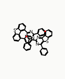 c1ccc(-c2nc(-c3ccccc3)nc(-c3cccc4sc5cccc(-c6ccc(-c7nc(-c8ccccc8)c8sc9ccccc9c8n7)cc6)c5c34)n2)cc1